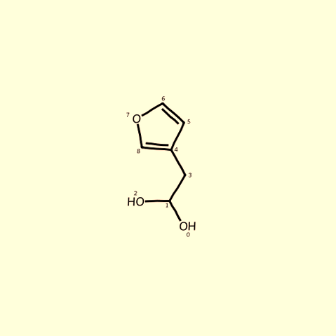 OC(O)Cc1ccoc1